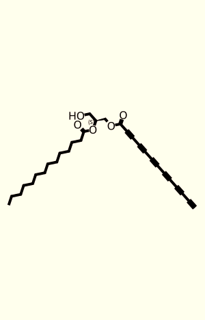 C#CC#CC#CC#CC#CC#CC(=O)OC[C@H](CO)OC(=O)CCCCCCCCCCCCC